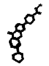 CC(C)(C)OC(=O)N1CCN(c2ccc3c(c2)Cc2cc(N4CCCCC4)ccc2C3=O)CC1